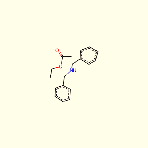 CCOC(C)=O.c1ccc(CNCc2ccccc2)cc1